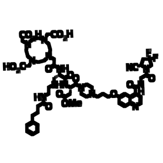 COC(=O)C[C@H](NC(=O)[C@H](CSCCNC(=O)CCCc1ccccc1)NC(=O)CN1CCN(CC(=O)O)CCN(CC(=O)O)CCN(CC(=O)O)CC1)C(=O)N1CCN(CCCOc2ccc3nccc(C(=O)NCC(=O)N4CC(F)(F)C[C@@H]4C#N)c3c2)CC1